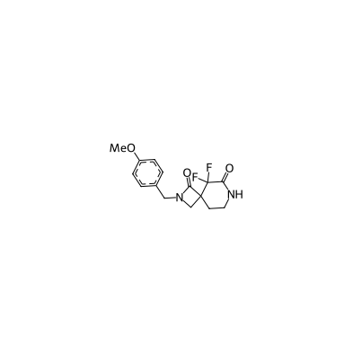 COc1ccc(CN2CC3(CCNC(=O)C3(F)F)C2=O)cc1